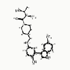 C[C@H](O)[C@@H](N)C(=O)N1CCC(CNc2ncc(C#N)c(-c3c[nH]c4ncc(C(F)(F)F)cc34)n2)CC1